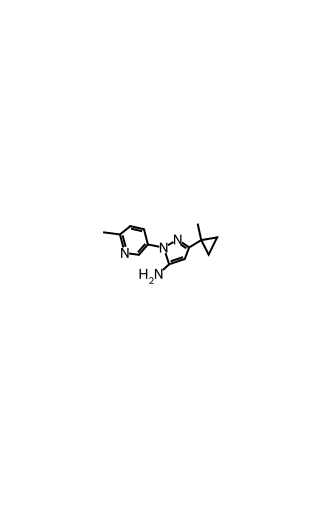 Cc1ccc(-n2nc(C3(C)CC3)cc2N)cn1